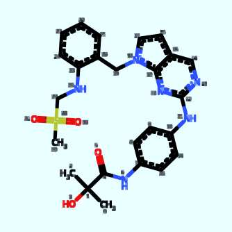 CC(C)(O)C(=O)Nc1ccc(Nc2ncc3ccn(Cc4ccccc4NCS(C)(=O)=O)c3n2)cc1